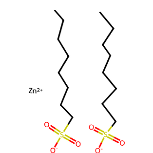 CCCCCCCCS(=O)(=O)[O-].CCCCCCCCS(=O)(=O)[O-].[Zn+2]